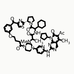 CNC(C)C(=O)NC(C(=O)N1CCC[C@H]1c1nc(C(=O)c2cccc(OCCCC(=O)N3CCN(c4ccc(Nc5ncc6c(C)c(C(C)=O)c(=O)n(C7CCCC7)c6n5)nc4)CC3)c2)cs1)C1CCCCC1